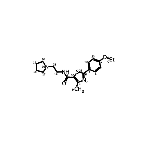 CCOc1ccc(-c2nc(C)c(C(=O)NCCN3CCCC3)s2)cc1